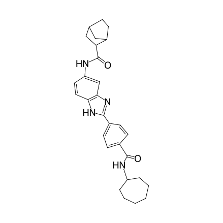 O=C(NC1CCCCCC1)c1ccc(-c2nc3cc(NC(=O)C4CC5CCC4C5)ccc3[nH]2)cc1